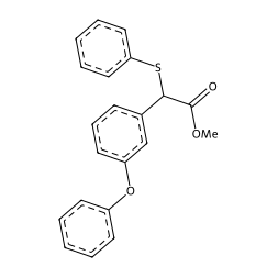 COC(=O)C(Sc1ccccc1)c1cccc(Oc2ccccc2)c1